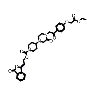 CCOC(=O)COc1ccc(C(=O)CN2CCN(C3CCN(C(=O)OC/C=C4\OC(=O)c5ccccc54)CC3)CC2=O)cc1